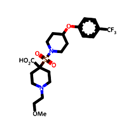 COCCN1CCC(C(=O)O)(S(=O)(=O)N2CCC(Oc3ccc(C(F)(F)F)cc3)CC2)CC1